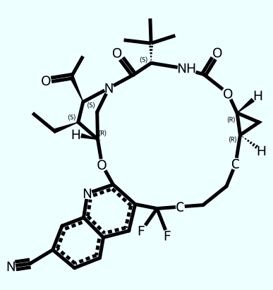 CC[C@@H]1[C@@H]2CN(C(=O)[C@H](C(C)(C)C)NC(=O)O[C@@H]3C[C@H]3CCCCC(F)(F)c3cc4ccc(C#N)cc4nc3O2)[C@@H]1C(C)=O